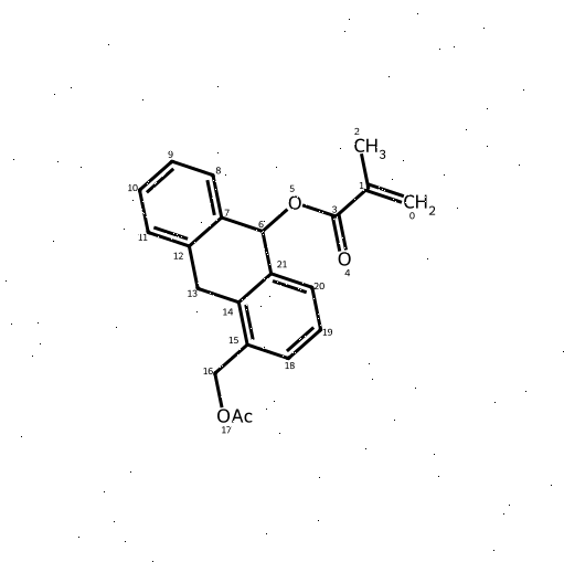 C=C(C)C(=O)OC1c2ccccc2Cc2c(COC(C)=O)cccc21